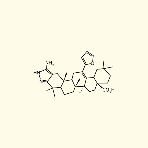 CC1(C)CC[C@]2(C(=O)O)CC[C@]3(C)C(=C(c4ccco4)CC4[C@@]5(C)Cc6c(n[nH]c6N)C(C)(C)C5CC[C@]43C)C2C1